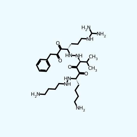 CC(C)[C@H](NN[C@@H](CCCNC(N)N)C(=O)C(=O)Cc1ccccc1)C(=O)C(=O)[C@H](CCCCN)NNCCCCN